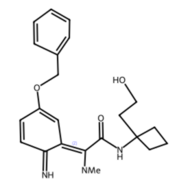 CN/C(C(=O)NC1(CCO)CCC1)=C1/C=C(OCc2ccccc2)C=CC1=N